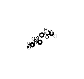 Cc1ncc(Cl)cc1C(=O)N[C@H]1CC[C@H](Cn2c(=O)n(-c3ccc4ocnc4c3)c3ccccc32)CC1